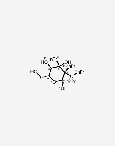 CCCO[C@]1(CCC)[C@](O)(CCC)O[C@H](CO)[C@@H](O)[C@@]1(O)CCC